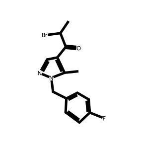 Cc1c(C(=O)C(C)Br)cnn1Cc1ccc(F)cc1